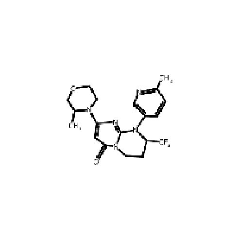 Cc1ccc(N2c3nc(N4CCOCC4C)cc(=O)n3CCC2C(F)(F)F)cn1